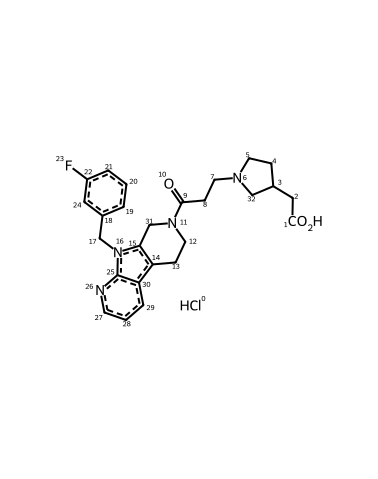 Cl.O=C(O)CC1CCN(CCC(=O)N2CCc3c(n(Cc4cccc(F)c4)c4ncccc34)C2)C1